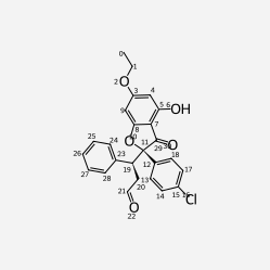 CCOc1cc(O)c2c(c1)O[C@@](c1ccc(Cl)cc1)([C@@H](CC=O)c1ccccc1)C2=O